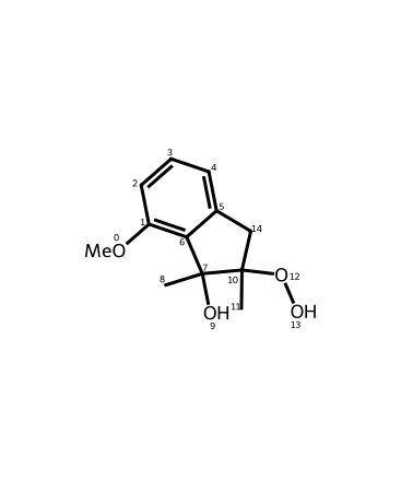 COc1cccc2c1C(C)(O)C(C)(OO)C2